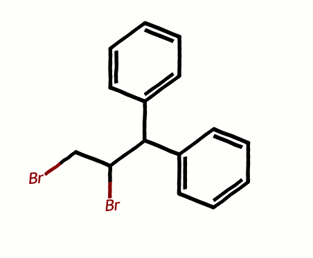 BrCC(Br)C(c1ccccc1)c1ccccc1